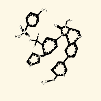 COc1ccc(-c2ccc3ncc4c(c3c2)n(-c2ccc(-n3ccnc3)c(C(F)(F)F)c2)c(=O)n4C)cn1.Cc1ccc(S(=O)(=O)O)cc1